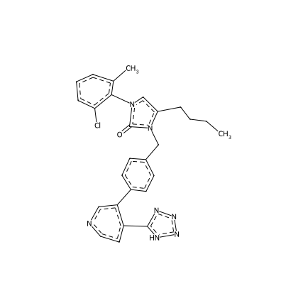 CCCCc1cn(-c2c(C)cccc2Cl)c(=O)n1Cc1ccc(-c2cnccc2-c2nnn[nH]2)cc1